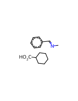 CN=Cc1ccccc1.O=C(O)C1CCCCC1